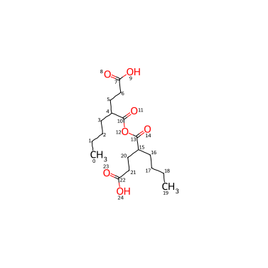 CCCCC(CCC(=O)O)C(=O)OC(=O)C(CCCC)CCC(=O)O